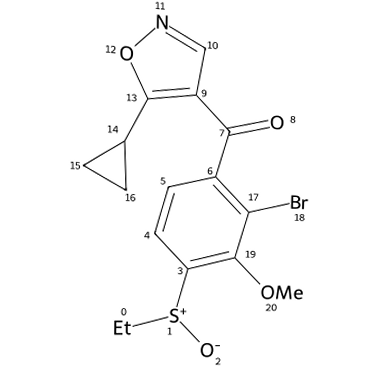 CC[S+]([O-])c1ccc(C(=O)c2cnoc2C2CC2)c(Br)c1OC